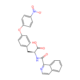 O=C(N[C@@H](Cc1ccc(Oc2ccc([N+](=O)[O-])cc2)cc1)C(=O)O)c1nccc2ccccc12